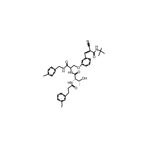 Cc1ccc(CNC(=O)C(COc2cccc(C=C(C#N)C(=O)NC(C)(C)C)c2)NC(=O)[C@@H](NC(=O)CCc2cccc(F)c2)[C@@H](C)O)cc1